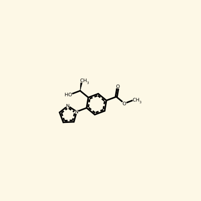 COC(=O)c1ccc(-n2cccn2)c([C@H](C)O)c1